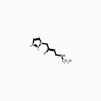 O=C(O)NCC=C(F)Cn1ccnn1